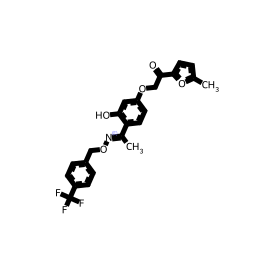 C/C(=N\OCc1ccc(C(F)(F)F)cc1)c1ccc(OCC(=O)c2ccc(C)o2)cc1O